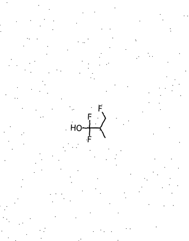 C[C](CF)C(O)(F)F